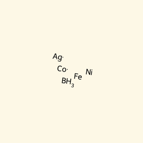 B.[Ag].[Co].[Fe].[Ni]